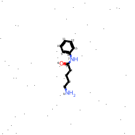 NCCCCC(=O)Nc1ccccc1